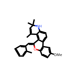 COc1ccc2c(c1)-c1ccc3c(c1C(=Cc1ccccc1C)O2)C(C)=CC(C)(C)N3